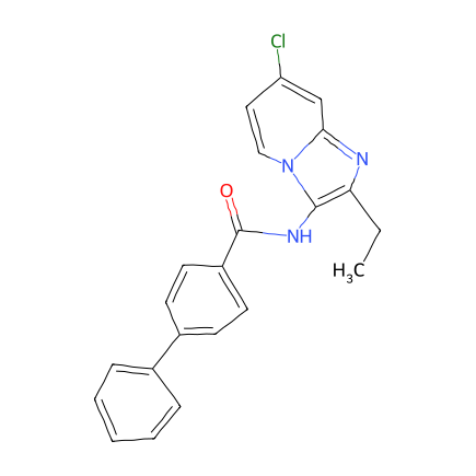 CCc1nc2cc(Cl)ccn2c1NC(=O)c1ccc(-c2ccccc2)cc1